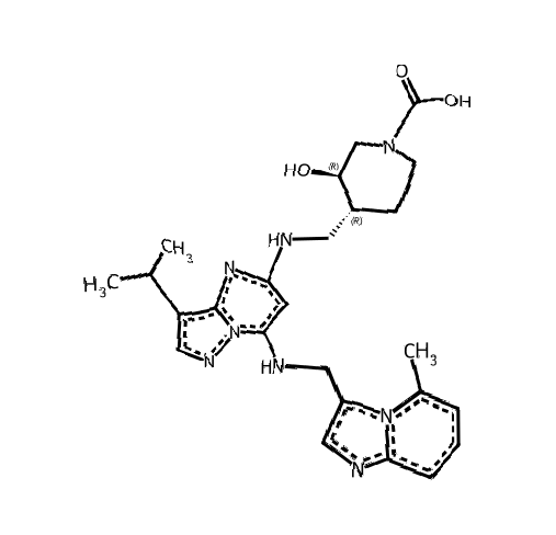 Cc1cccc2ncc(CNc3cc(NC[C@H]4CCN(C(=O)O)C[C@@H]4O)nc4c(C(C)C)cnn34)n12